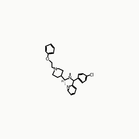 C[C@H](C1CCN(CCOc2ccccc2)CC1)N(C)C(c1ccc(Cl)cc1)c1ccccn1